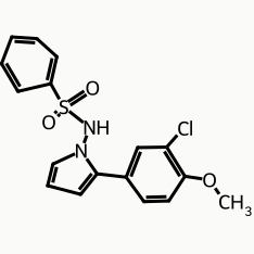 COc1ccc(-c2cccn2NS(=O)(=O)c2ccccc2)cc1Cl